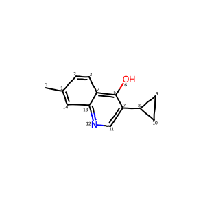 Cc1ccc2c(O)c(C3CC3)cnc2c1